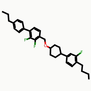 CCCCc1ccc(C2CCC(OCc3ccc(-c4ccc(CCC)cc4)c(F)c3F)CC2)cc1F